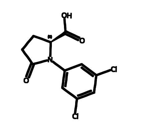 O=C(O)[C@@H]1CCC(=O)N1c1cc(Cl)cc(Cl)c1